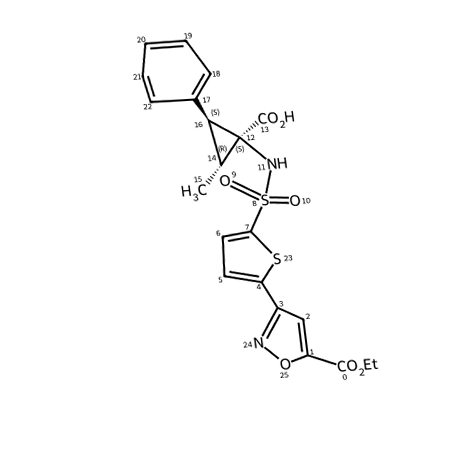 CCOC(=O)c1cc(-c2ccc(S(=O)(=O)N[C@@]3(C(=O)O)[C@H](C)[C@H]3c3ccccc3)s2)no1